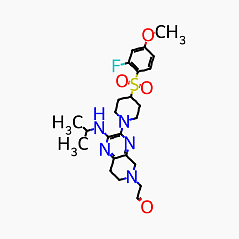 COc1ccc(S(=O)(=O)C2CCN(c3nc4c(nc3NC(C)C)CCN(CC=O)C4)CC2)c(F)c1